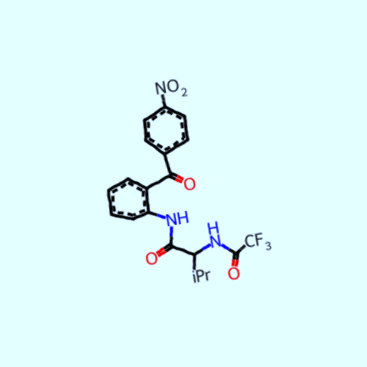 CC(C)C(NC(=O)C(F)(F)F)C(=O)Nc1ccccc1C(=O)c1ccc([N+](=O)[O-])cc1